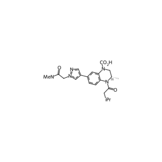 CNC(=O)Cn1cc(-c2ccc3c(c2)N(C(=O)O)C[C@H](C)N3C(=O)CC(C)C)cn1